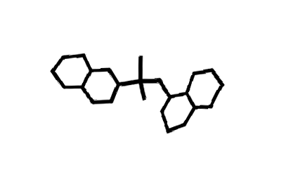 CC(C)(CC1CCCC2CCCCC21)C1CCC2CCCCC2C1